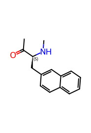 CN[C@@H](Cc1ccc2ccccc2c1)C(C)=O